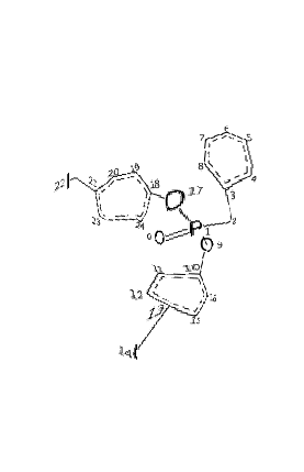 O=P(Cc1ccccc1)(Oc1ccc(I)cc1)Oc1ccc(I)cc1